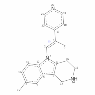 C/C(=C\n1c2c(c3cc(C)ccc31)CNCC2)c1ccncc1